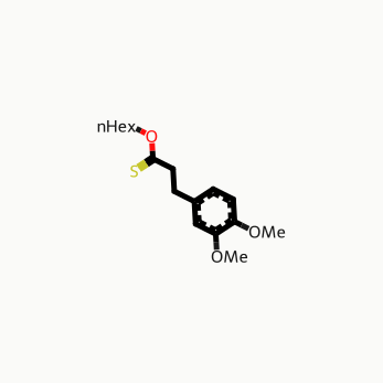 CCCCCCOC(=S)CCc1ccc(OC)c(OC)c1